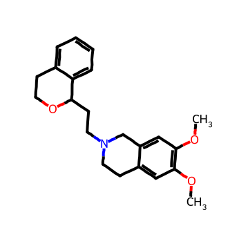 COc1cc2c(cc1OC)CN(CCC1OCCc3ccccc31)CC2